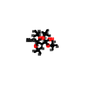 CO[Si](C[Si](O)(O[Si](C)(C)C)O[Si](C)(C)C)(O[Si](C)(C)C)O[Si](C)(C)C